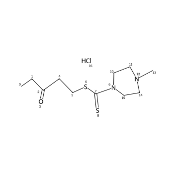 CCC(=O)CCSC(=S)N1CCN(C)CC1.Cl